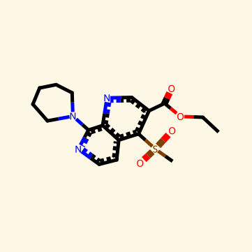 CCOC(=O)c1cnc2c(N3CCCCC3)nccc2c1S(C)(=O)=O